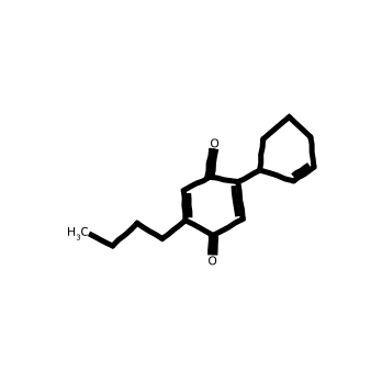 CCCCC1=CC(=O)C(C2C=CCCC2)=CC1=O